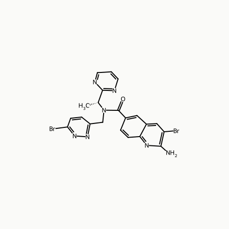 C[C@H](c1ncccn1)N(Cc1ccc(Br)nn1)C(=O)c1ccc2nc(N)c(Br)cc2c1